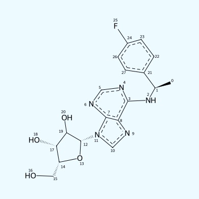 C[C@@H](Nc1ncnc2c1ncn2[C@@H]1O[C@H](CO)[C@H](O)C1O)c1ccc(F)cc1